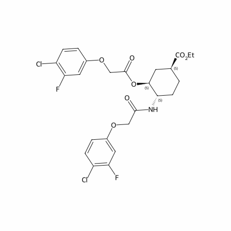 CCOC(=O)[C@H]1CC[C@H](NC(=O)COc2ccc(Cl)c(F)c2)[C@@H](OC(=O)COc2ccc(Cl)c(F)c2)C1